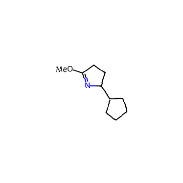 COC1=NC(C2CCCC2)CC1